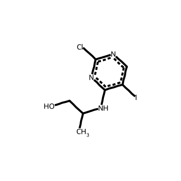 CC(CO)Nc1nc(Cl)ncc1I